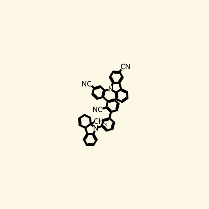 CC12CCC=CC1c1ccccc1N2c1cccc(-c2cccc(-c3ccc(C#N)cc3-n3c4ccccc4c4cc(C#N)ccc43)c2C#N)c1